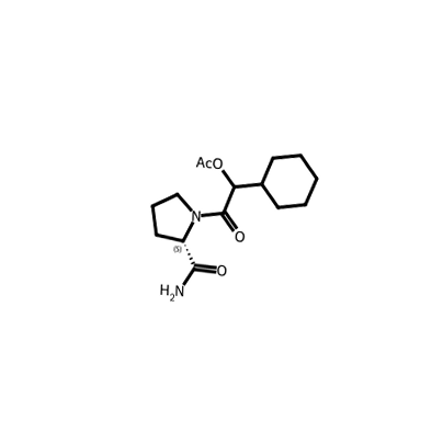 CC(=O)OC(C(=O)N1CCC[C@H]1C(N)=O)C1CCCCC1